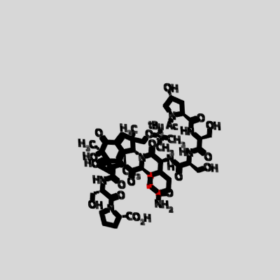 CC(=O)N1C[C@H](O)C[C@H]1C(=O)N[C@@H](CO)C(=O)N[C@@H](CO)C(=O)N[C@H](C(=O)N([C@@H](CCC(N)=O)C(=O)N[C@@H](CO)C(=O)N[C@@H](CO)C(=O)N1CCC[C@H]1C(=O)O)[C@@H]1C2=C(C)C3(CC3)[C@@](C)(O)C(=O)C2=C[C@]1(C)CO[Si](C)(C)C(C)(C)C)C1CCCCC1